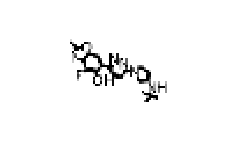 Cc1nc2c(F)c(O)c(-c3ccc(N4CC[C@H](NC(C)(C)C)C4)nn3)cc2o1